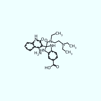 CCN(CC)CCN(CC)C(=O)C1(c2c(N)c3ccccc3[nH]c2=O)Nc2ccc(C(=O)O)cc2N1